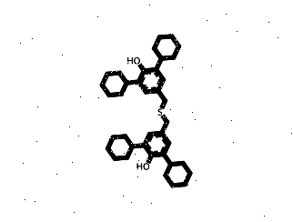 Oc1c(C2CCCCC2)cc(CSCc2cc(C3CCCCC3)c(O)c(C3CCCCC3)c2)cc1C1CCCCC1